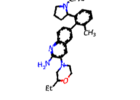 CCC1CN(c2cc3cc(-c4c(C)cccc4C4CCCN4C=O)ccc3nc2N)CCO1